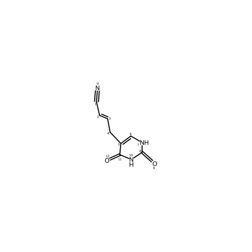 N#CC=CCc1c[nH]c(=O)[nH]c1=O